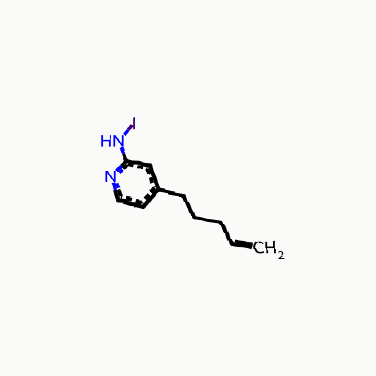 C=CCCCc1ccnc(NI)c1